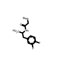 CNCC(=O)NC(Cc1ccc(F)c(F)c1)C(=O)O